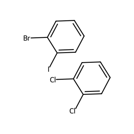 Brc1ccccc1I.Clc1ccccc1Cl